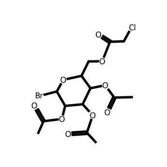 CC(=O)OC1C(Br)OC(COC(=O)CCl)C(OC(C)=O)C1OC(C)=O